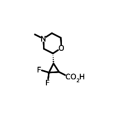 CN1CCO[C@H](C2C(C(=O)O)C2(F)F)C1